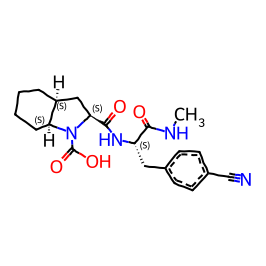 CNC(=O)[C@H](Cc1ccc(C#N)cc1)NC(=O)[C@@H]1C[C@@H]2CCCC[C@@H]2N1C(=O)O